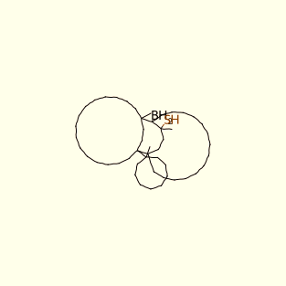 BC12CCCCCCCCCCCCCCC(CCC1(C)S)C1(C3(C)CCCCCCCC3)CCCCCCCCCCCCCCCC2(C)CC1